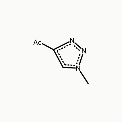 CC(=O)c1cn(C)nn1